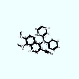 COc1ccc2c(N(C3=CC=CCC3)C3=COC=CO3)c(C#N)cnc2c1OC